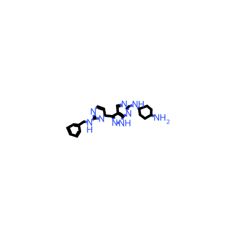 NC1CCC(Nc2ncc3c(-c4ccnc(NCc5ccccc5)n4)n[nH]c3n2)CC1